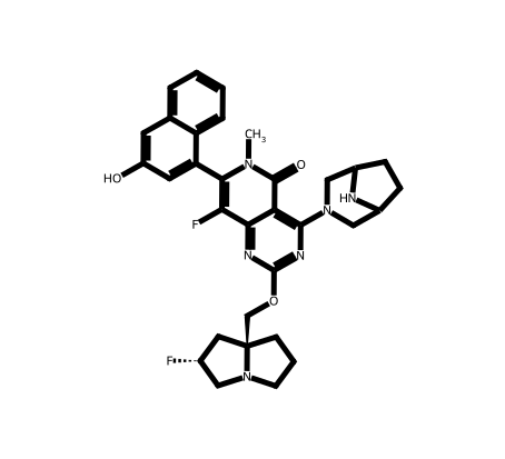 Cn1c(-c2cc(O)cc3ccccc23)c(F)c2nc(OC[C@@]34CCCN3C[C@H](F)C4)nc(N3CC4CCC(C3)N4)c2c1=O